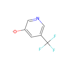 [O]c1cncc(C(F)(F)F)c1